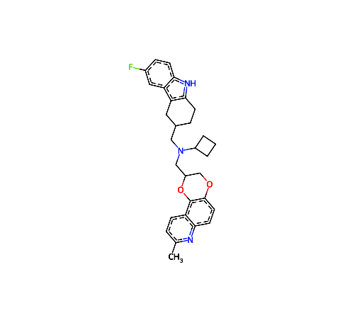 Cc1ccc2c3c(ccc2n1)OCC(CN(CC1CCc2[nH]c4ccc(F)cc4c2C1)C1CCC1)O3